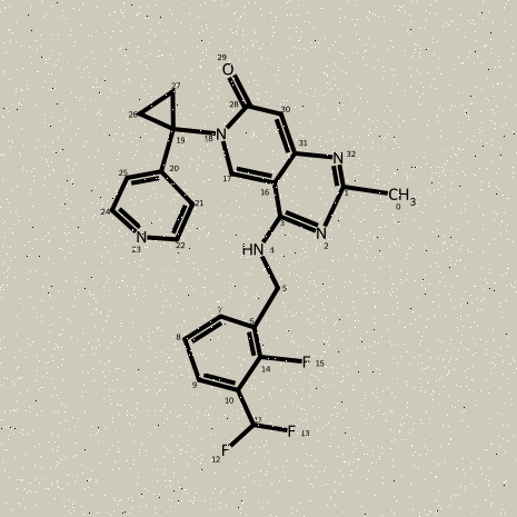 Cc1nc(NCc2cccc(C(F)F)c2F)c2cn(C3(c4ccncc4)CC3)c(=O)cc2n1